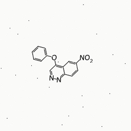 O=[N+]([O-])c1ccc2nncc(Oc3ccccc3)c2c1